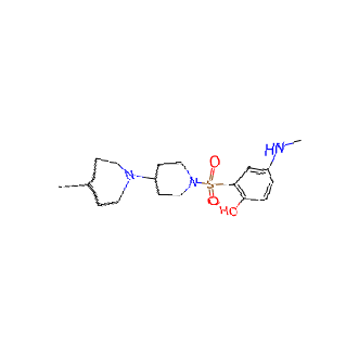 CNc1ccc(O)c(S(=O)(=O)N2CCC(N3CCC(C)CC3)CC2)c1